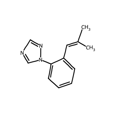 CC(C)=Cc1ccccc1-n1cncn1